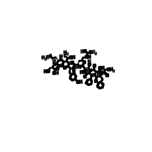 CSCC[C@H](NC(=O)[C@@H](NC(=O)[C@H](Cc1ccc(O)cc1)NC(=O)[C@H](CCCNC(=N)N)NC(=O)[C@H](CO)NC(=O)[C@H](Cc1ccccc1)NC(=O)[C@@H](NC(=O)[C@H](Cc1ccccc1)NC(=O)CN)[C@@H](C)O)[C@@H](C)O)C(=O)N[C@@H](CO)C(=O)O